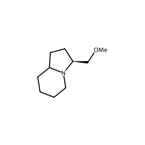 COC[C@@H]1CCC2CCCCN21